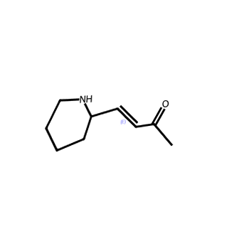 CC(=O)/C=C/C1CCCCN1